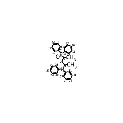 CC(CC(C)P(=O)(c1ccccc1)c1ccccc1)P(c1ccccc1)c1ccccc1